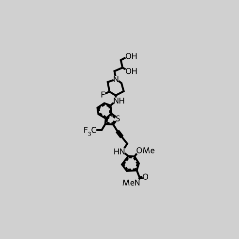 CNC(=O)c1ccc(NCC#Cc2sc3c(NC4CCN(CC(O)CO)CC4F)cccc3c2CC(F)(F)F)c(OC)c1